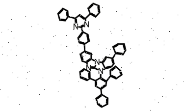 c1ccc(-c2cc(-c3ccccc3)c(-n3c4ccc(-c5ccccc5)cc4n4c5cc(-c6ccc(-c7nc(-c8ccccc8)cc(-c8ccccc8)n7)cc6)ccc5nc34)c(-c3ccccc3)c2)cc1